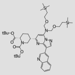 CC(C)(C)OC(=O)[C@@H]1CC[C@H](c2cc(N(COCC[Si](C)(C)C)COCC[Si](C)(C)C)n3ncc(-c4cnc5ccccc5c4)c3n2)CN1C(=O)OC(C)(C)C